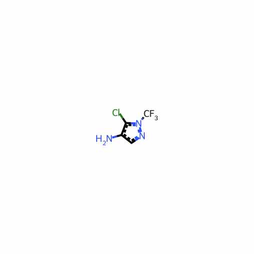 Nc1cnn(C(F)(F)F)c1Cl